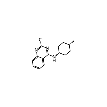 C[C@H]1CC[C@@H](Nc2nc(Cl)nc3ccccc23)CC1